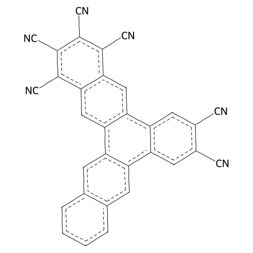 N#Cc1cc2c(cc1C#N)c1cc3c(C#N)c(C#N)c(C#N)c(C#N)c3cc1c1cc3ccccc3cc21